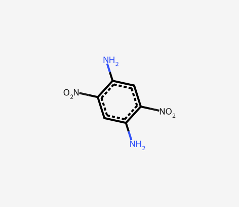 Nc1cc([N+](=O)[O-])c(N)cc1[N+](=O)[O-]